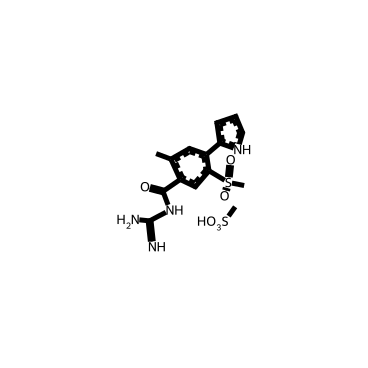 CS(=O)(=O)O.Cc1cc(-c2ccc[nH]2)c(S(C)(=O)=O)cc1C(=O)NC(=N)N